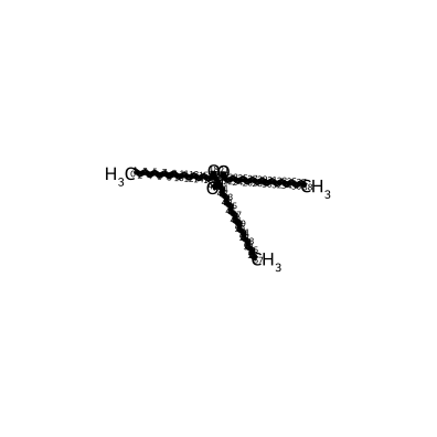 CCCCCCCCC=CCCCCCCCC(=O)N(C(=O)CCCCCCCC=CCCCCCCCC)C(=O)CCCCCCCC=CCCCCCCCC